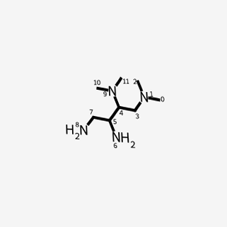 CN(C)CC(C(N)CN)N(C)C